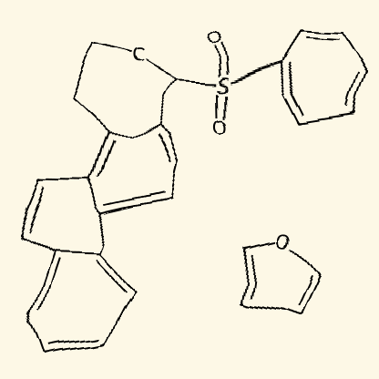 O=S(=O)(c1ccccc1)C1CCCc2c1ccc1c2ccc2ccccc21.c1ccoc1